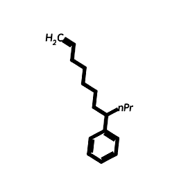 C=CCCCCCC(CCC)c1ccccc1